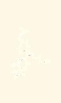 O=c1[nH]c(/C(=C\CCCO)c2ccc(SC3CC3)cc2)ccc1C(F)(F)F